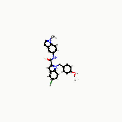 Cn1ccc2cc(NC(=O)c3cc4cc(F)ccc4n3Cc3ccc(OC(F)(F)F)cc3)ccc21